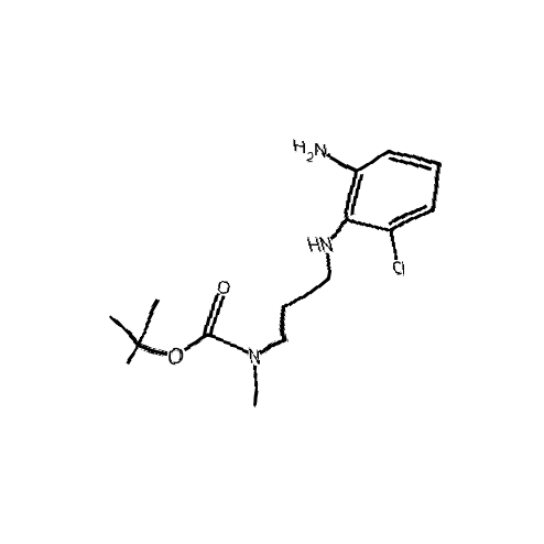 CN(CCCNc1c(N)cccc1Cl)C(=O)OC(C)(C)C